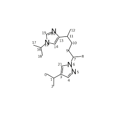 CC(C)c1cnn(C(C)CCC(C)c2cn(C(C)C)cn2)c1